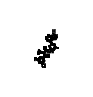 C[C@H]1C[C@@H](NC(=O)[C@H](Nc2cc(F)cc(Cl)c2)C2CC2)CN(c2cnnc3[nH]ncc23)C1